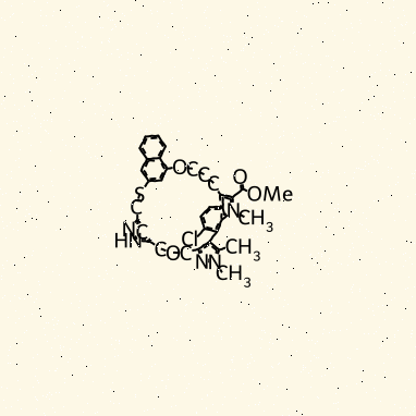 COC(=O)c1c2c3ccc(Cl)c(c3n1C)-c1c(nn(C)c1C)COCc1cc(n[nH]1)CSc1cc(c3ccccc3c1)OCCC2